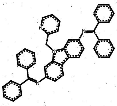 c1ccc(C(=Nc2ccc3c4ccc(N=C(c5ccccc5)c5ccccc5)cc4n(Cc4ccccn4)c3c2)c2ccccc2)cc1